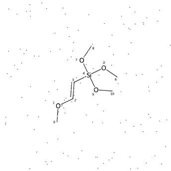 COC=C[Si](OC)(OC)OC